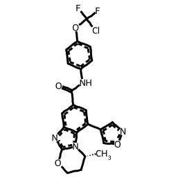 C[C@@H]1CCOc2nc3cc(C(=O)Nc4ccc(OC(F)(F)Cl)cc4)cc(-c4cnoc4)c3n21